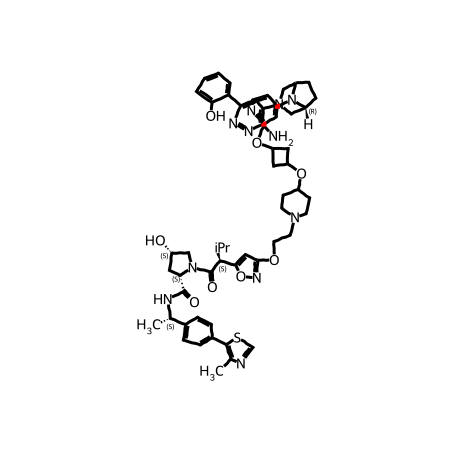 Cc1ncsc1-c1ccc([C@H](C)NC(=O)[C@@H]2C[C@H](O)CN2C(=O)[C@H](c2cc(OCCN3CCC(OC4CC(Oc5cc(N6C7CC[C@@H]6CN(c6cc(-c8ccccc8O)nnc6N)C7)ccn5)C4)CC3)no2)C(C)C)cc1